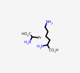 CC(C)C(N)C(=O)O.NCCCCC(N)C(=O)O